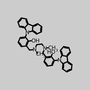 CN(CCN(C)Cc1cccc(-n2c3ccccc3c3ccccc32)c1O)Cc1cccc(-n2c3ccccc3c3ccccc32)c1O